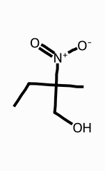 CCC(C)(CO)[N+](=O)[O-]